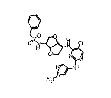 Cn1cc(Nc2ncc(Cl)c(N[C@@H]3COC4C3OC[C@@H]4NS(=O)(=O)Cc3ccccc3)n2)cn1